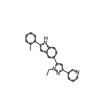 CCn1nc(-c2cccnc2)cc1-c1ccc2[nH]c(-c3ccccc3C)cc2c1